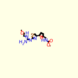 COCCNC(N)=Nc1nc(-c2ccc(CNC(=O)OC)o2)cs1